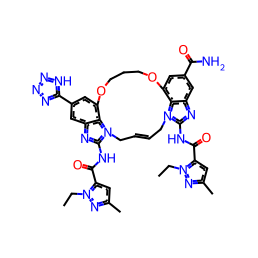 CCn1nc(C)cc1C(=O)Nc1nc2cc(C(N)=O)cc3c2n1C/C=C/Cn1c(NC(=O)c2cc(C)nn2CC)nc2cc(-c4nnn[nH]4)cc(c21)OCCCO3